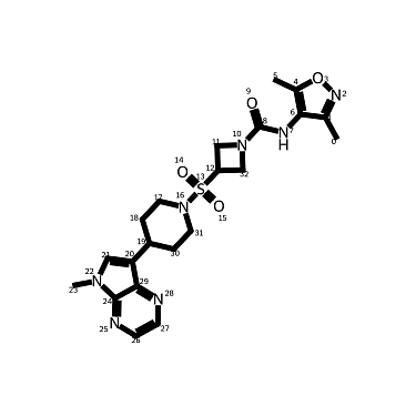 Cc1noc(C)c1NC(=O)N1CC(S(=O)(=O)N2CCC(c3cn(C)c4nccnc34)CC2)C1